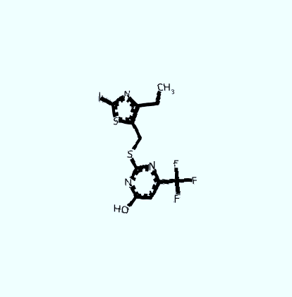 CCc1nc(I)sc1CSc1nc(O)cc(C(F)(F)F)n1